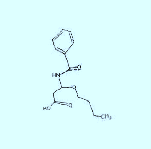 CCCCOC(CC(=O)O)NC(=O)c1ccccc1